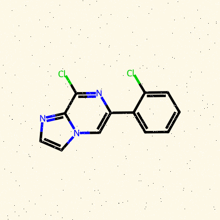 Clc1ccccc1-c1cn2ccnc2c(Cl)n1